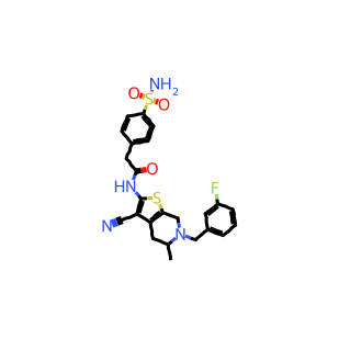 CC1Cc2c(sc(NC(=O)CC3=C=C=C(S(N)(=O)=O)C=C3)c2C#N)CN1Cc1cccc(F)c1